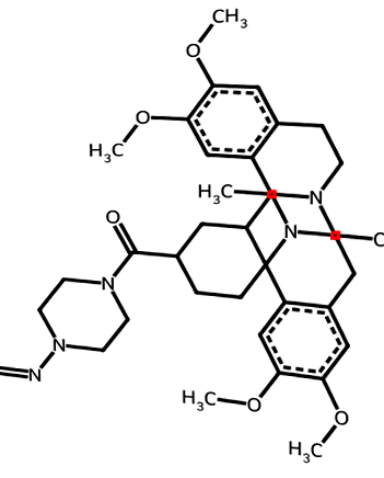 CCN1CCc2cc(OC)c(OC)cc2C1C1CC(C(=O)N2CCN(N=O)CC2)CCC12c1cc(OC)c(OC)cc1CCN2CC